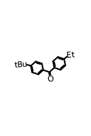 CCc1ccc(C(=O)c2ccc(C(C)(C)C)cc2)cc1